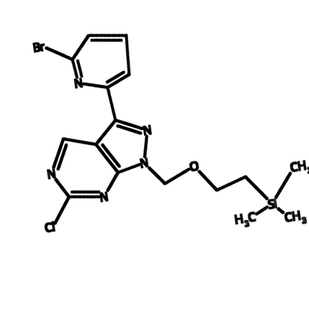 C[Si](C)(C)CCOCn1nc(-c2cccc(Br)n2)c2cnc(Cl)nc21